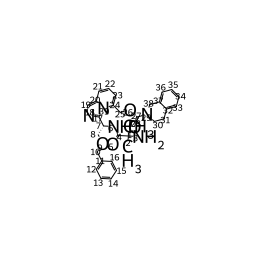 CC(C)(N)C(=O)N[C@H](COCc1ccccc1)c1ncc2cccc(COC(=O)N3CCc4ccccc4C3)n12